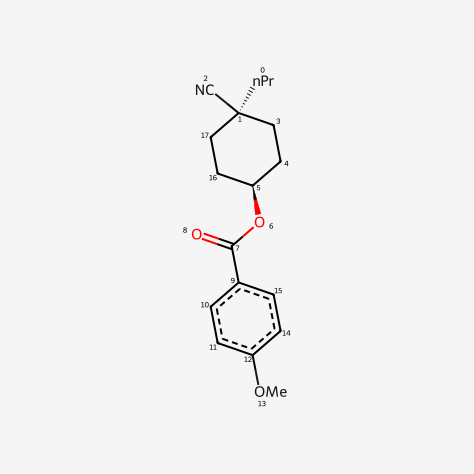 CCC[C@]1(C#N)CC[C@@H](OC(=O)c2ccc(OC)cc2)CC1